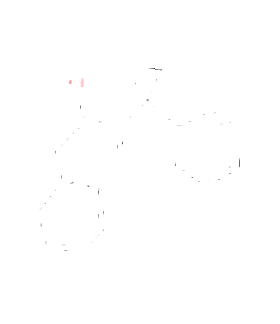 Oc1cc2ccccc2cc1C1(c2ccccc2)CC1